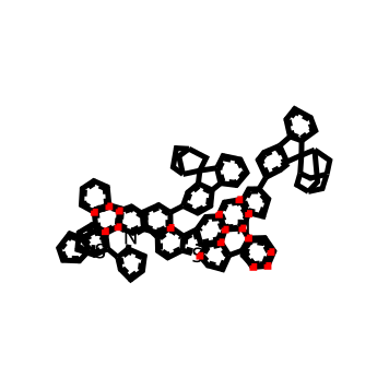 c1ccc(-c2ccccc2-c2ccccc2-c2ccccc2N(c2ccc(-c3ccc4c(c3)C3(c5ccccc5-4)C4CC5CC(C4)CC3C5)cc2)c2ccc3c(c2)sc2ccc(-c4ccc(-c5ccccc5)c(-c5ccccc5-c5ccccc5N(c5ccc(-c6ccc7c(c6)C6(CC8CCC6C8)c6ccccc6-7)cc5)c5cccc6c5sc5ccccc56)c4)cc23)cc1